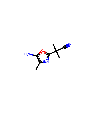 Cc1nc(C(C)(C)C#N)oc1N